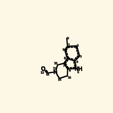 Cc1ccc2[nH]c3c(c2c1)CN(C=O)CC3